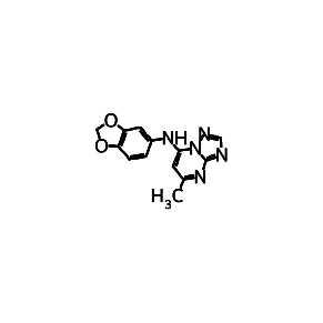 Cc1cc(Nc2ccc3c(c2)OCO3)n2ncnc2n1